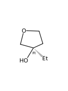 CC[C@@]1(O)CCOC1